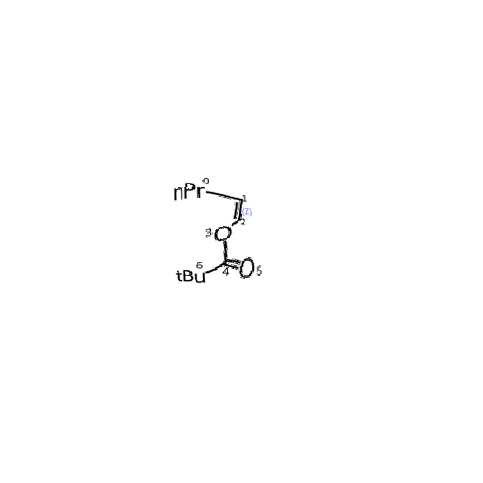 CCC/C=C\OC(=O)C(C)(C)C